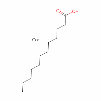 CCCCCCCCCCCC(=O)O.[Co]